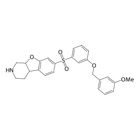 COc1cccc(COc2cccc(S(=O)(=O)c3ccc4c(c3)OC3CNCCC43)c2)c1